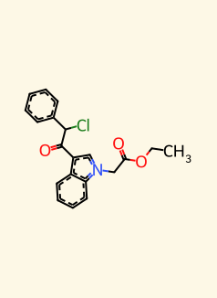 CCOC(=O)Cn1cc(C(=O)C(Cl)c2ccccc2)c2ccccc21